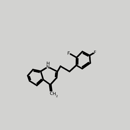 C=C1C=C(CCc2ccc(F)cc2F)Nc2ccccc21